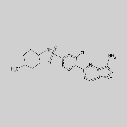 CC1CCC(NS(=O)(=O)c2ccc(-c3ccc4[nH]nc(N)c4n3)c(Cl)c2)CC1